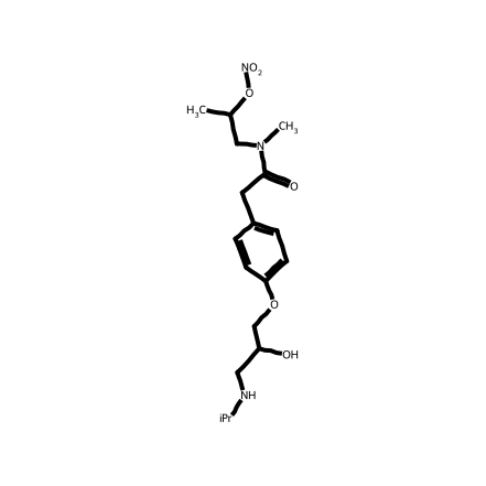 CC(C)NCC(O)COc1ccc(CC(=O)N(C)CC(C)O[N+](=O)[O-])cc1